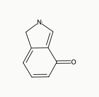 O=C1C=CC=C2C[N]C=C12